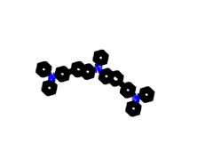 C1=CC(c2ccc(N(c3ccccc3)c3ccccc3)cc2)Cc2ccc(N(c3ccccc3)c3ccc4cc(-c5ccc(N(c6ccccc6)c6ccccc6)cc5)ccc4c3)cc21